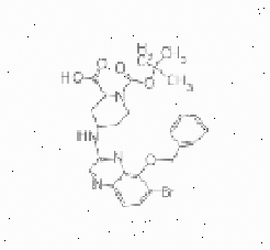 CC(C)(C)OC(=O)N1CC[C@H](Nc2cnc3ccc(Br)c(OCc4ccccc4)c3n2)C[C@H]1C(=O)O